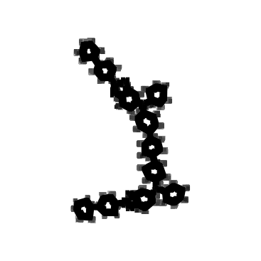 c1ccc(-c2ccc(-n3nc4ccc(N(c5ccccc5)c5ccc(-c6ccc(-c7ccc(N(c8ccccc8)c8ccc9nn(-c%10ccc(-c%11ccccc%11)cc%10)nc9c8)cc7)cc6)cc5)cc4n3)cc2)cc1